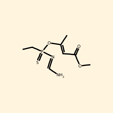 CCP(=S)(N=CN)OC(C)=CC(=O)OC